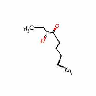 CCCCC[C](=O)[Ti](=[O])[CH2]C